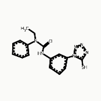 CCN(C(=O)Nc1cccc(-n2nnnc2S)c1)c1ccccc1